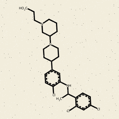 CC(Nc1cc(C2CCN(C3CCCN(CCC(=O)O)C3)CC2)ccc1Cl)c1ccc(Cl)cc1Cl